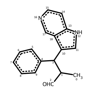 CC(C=O)C(c1ccccc1)c1c[nH]c2ccncc12